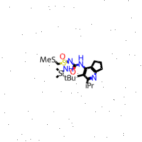 CSCS(=O)(=NC(=O)Nc1c(C)c(C(C)C)nc2c1CCC2)N[Si](C)(C)C(C)(C)C